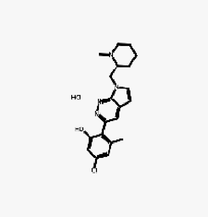 Cc1cc(Cl)cc(O)c1-c1cc2ccn(C[C@@H]3CCCCN3C)c2nn1.Cl